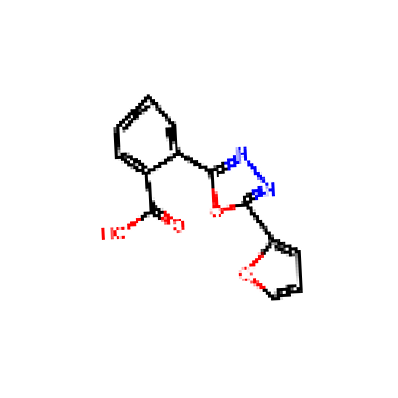 O=C(O)c1ccccc1-c1nnc(-c2ccco2)o1